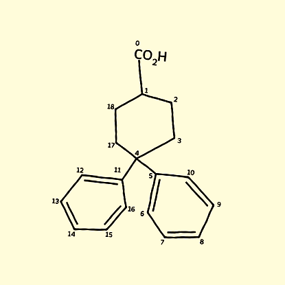 O=C(O)C1CCC(c2ccccc2)(c2ccccc2)CC1